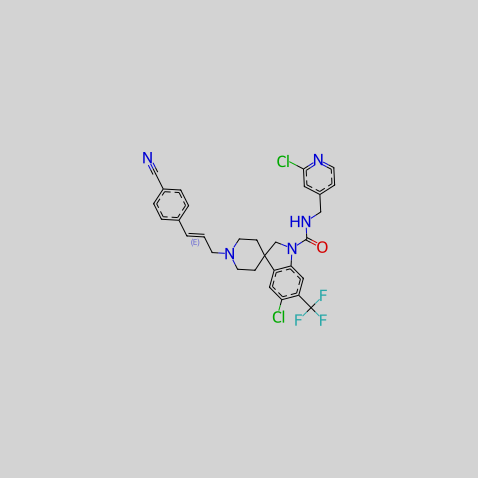 N#Cc1ccc(/C=C/CN2CCC3(CC2)CN(C(=O)NCc2ccnc(Cl)c2)c2cc(C(F)(F)F)c(Cl)cc23)cc1